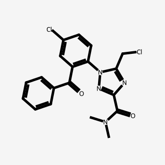 CN(C)C(=O)c1nc(CCl)n(-c2ccc(Cl)cc2C(=O)c2ccccc2)n1